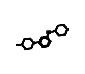 CN1CCN(c2cc[c]c(NC3CCOCC3)c2)CC1